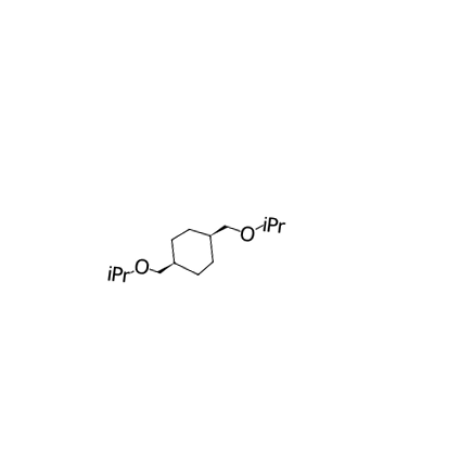 CC(C)OC[C@H]1CC[C@@H](COC(C)C)CC1